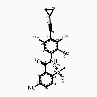 CC(=O)c1c(NC(=O)c2cc(C#N)ccc2S(C)(=O)=O)cc(F)c(C#CC2CC2)c1F